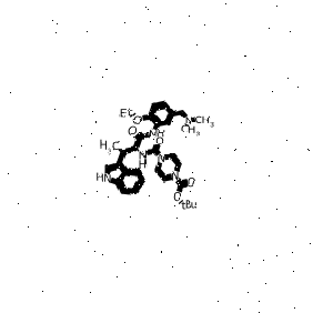 CCOc1ccc(CN(C)C)cc1NC(=O)[C@H](NC(=O)N1CCN(C(=O)OC(C)(C)C)CC1)[C@@H](C)c1c[nH]c2ccccc12